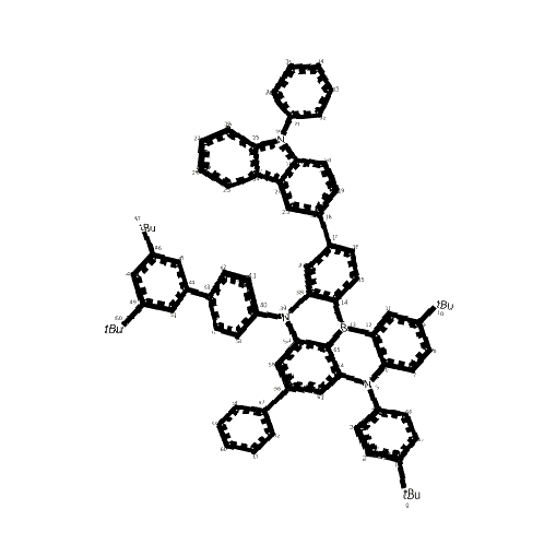 CC(C)(C)c1ccc(N2c3ccc(C(C)(C)C)cc3B3c4ccc(-c5ccc6c(c5)c5ccccc5n6-c5ccccc5)cc4N(c4ccc(-c5cc(C(C)(C)C)cc(C(C)(C)C)c5)cc4)c4cc(-c5ccccc5)cc2c43)cc1